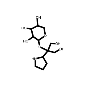 OCC(CO)(OC1OCC(O)C(O)C1O)C1CCCN1